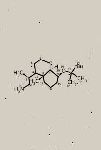 C[C@H](CN)[C@H]1CCC[C@H]2[C@@H](O[Si](C)(C)C(C)(C)C)CCC[C@]12C